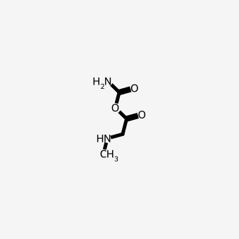 CNCC(=O)OC(N)=O